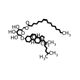 CCCCCCCC/C=C\CCCCCC(=O)OC[C@H]1O[C@@H](O[C@H]2CC[C@@]3(C)C(=CC[C@H]4[C@@H]5CC[C@H]([C@H](C)CCCC(C)C)[C@@]5(C)CC[C@@H]43)C2)[C@H](O)[C@@H](O)[C@@H]1O